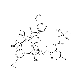 COc1cccc(C(=O)O[C@H]2[C@@H]3[C@]4(OC(C)=O)CO[C@@H]4C[C@H](O)[C@@]3(C)C(=O)[C@H](OC(=O)C3CC3)C3=C(C)[C@@H](OC(=O)[C@H](O)[C@H](C=C(F)F)NC(=O)OC(C)(C)C)C[C@]2(O)C3(C)C)c1